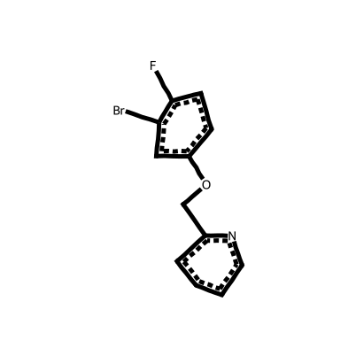 Fc1ccc(OCc2ccccn2)cc1Br